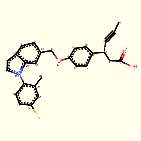 CC#C[C@@H](CC(=O)O)c1ccc(OCc2ccc3ccn(-c4ccc(F)cc4C)c3c2)cc1